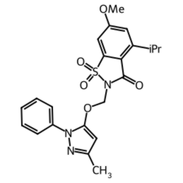 COc1cc(C(C)C)c2c(c1)S(=O)(=O)N(COc1cc(C)nn1-c1ccccc1)C2=O